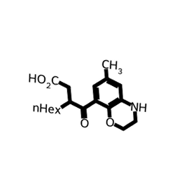 CCCCCCC(CC(=O)O)C(=O)c1cc(C)cc2c1OCCN2